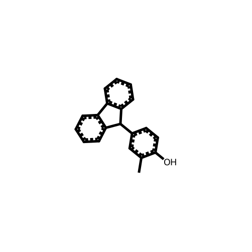 Cc1cc(C2c3ccccc3-c3ccccc32)ccc1O